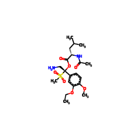 CCOc1cc([C@@](CN)(OC(=O)[C@H](CC(C)C)NC(C)=O)S(C)(=O)=O)ccc1OC